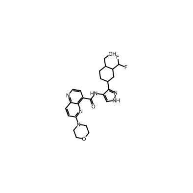 O=C(Nc1c[nH]nc1C1CCC(CO)C(C(F)F)C1)c1ccnc2ccc(N3CCOCC3)nc12